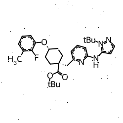 Cc1cccc(O[C@H]2CC[C@](Cc3cccc(Nc4ccnn4C(C)(C)C)n3)(C(=O)OC(C)(C)C)CC2)c1F